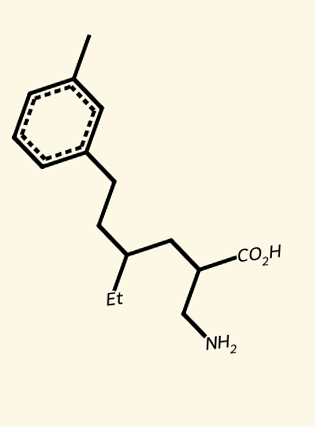 CCC(CCc1cccc(C)c1)CC(CN)C(=O)O